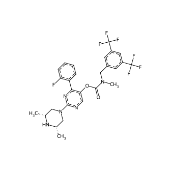 C[C@@H]1CN(c2ncc(OC(=O)N(C)Cc3cc(C(F)(F)F)cc(C(F)(F)F)c3)c(-c3ccccc3F)n2)C[C@H](C)N1